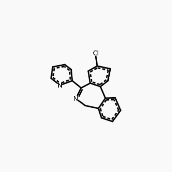 Clc1ccc2c(c1)C(c1ccccn1)=NCc1ccccc1-2